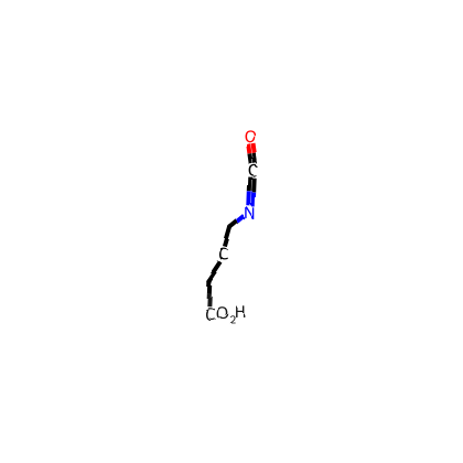 O=C=NCCCC(=O)O